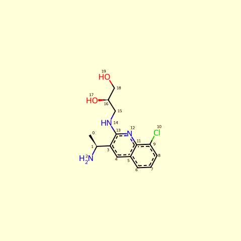 C[C@H](N)c1cc2cccc(Cl)c2nc1NC[C@@H](O)CO